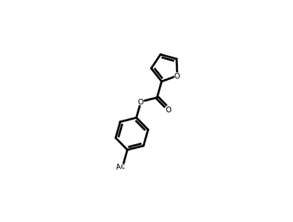 CC(=O)c1ccc(OC(=O)c2ccco2)cc1